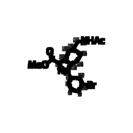 COC(=O)c1nn(-c2cccc(Br)c2)c2ccc(CNC(C)=O)cc12